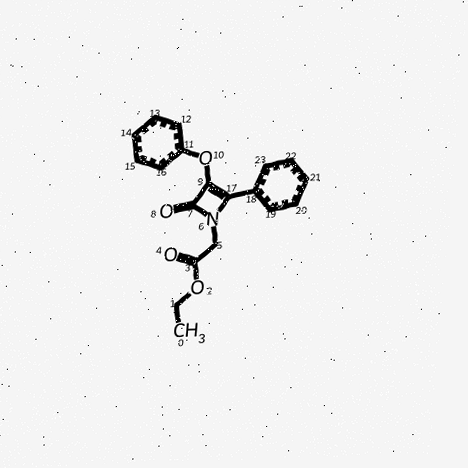 CCOC(=O)CN1C(=O)C(Oc2ccccc2)=C1c1ccccc1